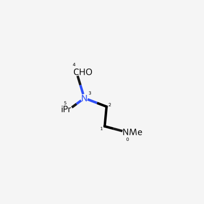 CNCCN(C=O)C(C)C